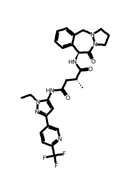 CCn1nc(-c2ccc(C(F)(F)F)nc2)cc1NC(=O)C[C@@H](C)C(=O)N[C@@H]1C(=O)N2CCCN2Cc2ccccc21